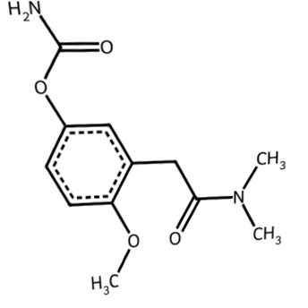 COc1ccc(OC(N)=O)cc1CC(=O)N(C)C